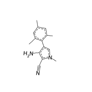 Cc1cc(C)c(-c2cn(C)c(C#N)c2N)c(C)c1